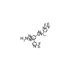 CCC(c1ccc(C(F)(F)F)nc1)n1cc(-c2cc(-c3ccnc(C4(F)CC4)c3)n3nc(N)nc3c2)cn1